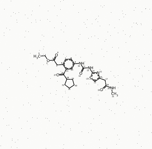 CCOC(=O)Cc1ccc(NC(=O)Nc2nc(CC(=O)NC)cs2)cc1C(=O)C1CCCC1